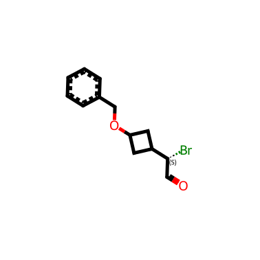 O=C[C@@H](Br)C1CC(OCc2ccccc2)C1